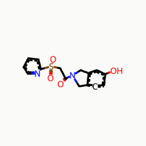 O=C(CS(=O)(=O)c1ccccn1)N1Cc2ccc(O)cc2C1